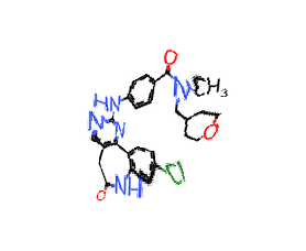 CN(CC1CCOCC1)C(=O)c1ccc(Nc2ncc3c(n2)-c2ccc(Cl)cc2NC(=O)C3)cc1